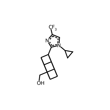 OCC12C3C4C1C1C2C3C41c1nc(C(F)(F)F)cn1C1CC1